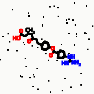 CC(CC(=O)O)CC(=O)CCc1ccc(OC(=O)c2ccc(NC(=N)N)cc2)cc1